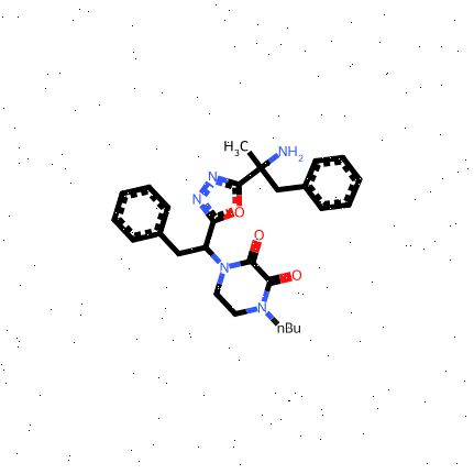 CCCCN1CCN(C(Cc2ccccc2)c2nnc(C(C)(N)Cc3ccccc3)o2)C(=O)C1=O